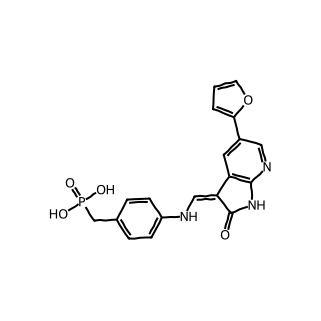 O=C1Nc2ncc(-c3ccco3)cc2/C1=C/Nc1ccc(CP(=O)(O)O)cc1